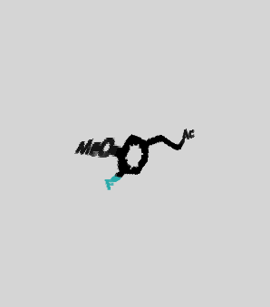 COc1cc(CCC(C)=O)ccc1F